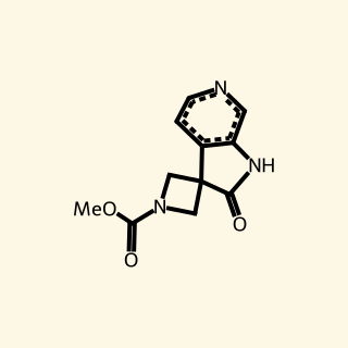 COC(=O)N1CC2(C1)C(=O)Nc1cnccc12